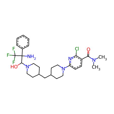 CN(C)C(=O)c1ccc(N2CCC(CC3CCN(C(O)C(N)(c4ccccc4)C(F)(F)F)CC3)CC2)nc1Cl